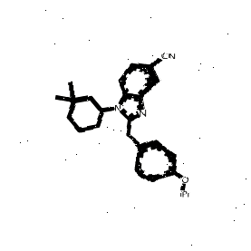 CC(C)Oc1ccc(Cc2nc3cc(C#N)ccc3n2C2CCCC(C)(C)C2)cc1